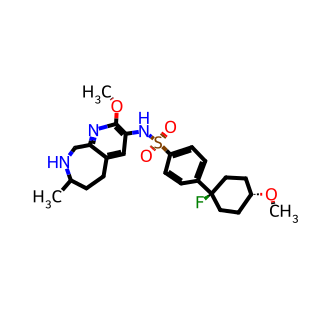 COc1nc2c(cc1NS(=O)(=O)c1ccc([C@]3(F)CC[C@H](OC)CC3)cc1)CCC(C)NC2